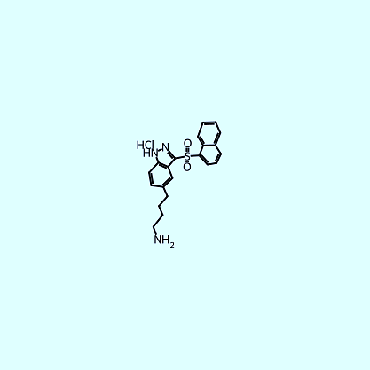 Cl.NCCCCc1ccc2[nH]nc(S(=O)(=O)c3cccc4ccccc34)c2c1